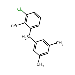 CCCc1c(Cl)cccc1[SiH2]c1cc(C)cc(C)c1